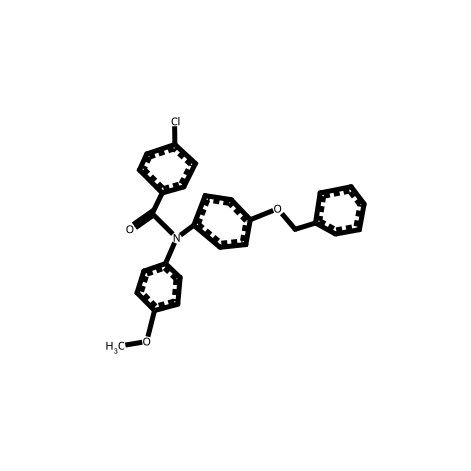 COc1ccc(N(C(=O)c2ccc(Cl)cc2)c2ccc(OCc3ccccc3)cc2)cc1